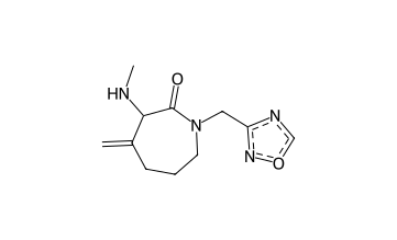 C=C1CCCN(Cc2ncon2)C(=O)C1NC